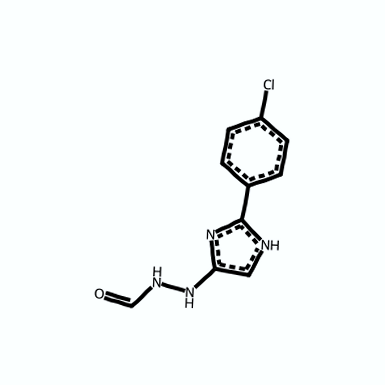 O=CNNc1c[nH]c(-c2ccc(Cl)cc2)n1